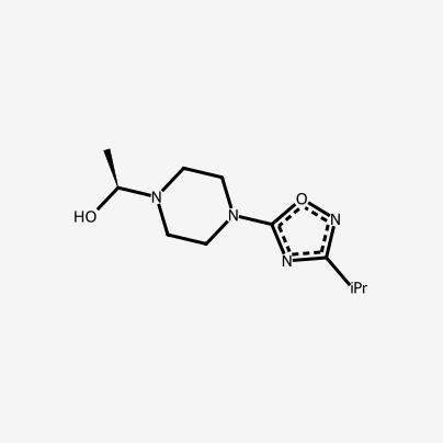 CC(C)c1noc(N2CCN([C@H](C)O)CC2)n1